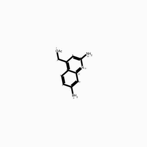 Bc1ccc2c(COC(C)=O)cc(N)nc2c1